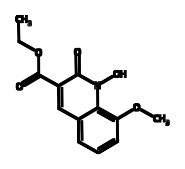 CCOC(=O)c1cc2cccc(OC)c2n(O)c1=O